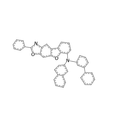 c1ccc(-c2cccc(N(c3ccc4ccccc4c3)c3cccc4c3oc3cc5oc(-c6ccccc6)nc5cc34)c2)cc1